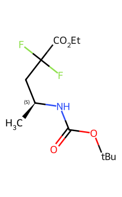 CCOC(=O)C(F)(F)C[C@H](C)NC(=O)OC(C)(C)C